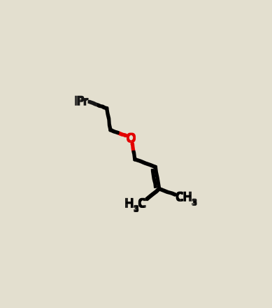 CC(C)=CCOCCC(C)C